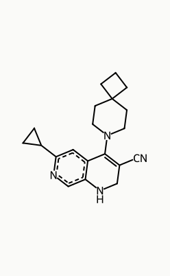 N#CC1=C(N2CCC3(CCC3)CC2)c2cc(C3CC3)ncc2NC1